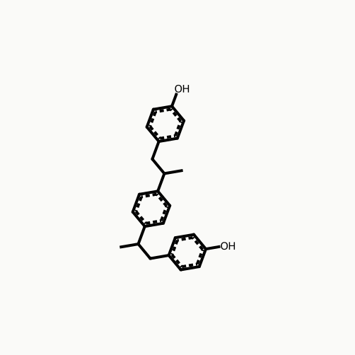 CC(Cc1ccc(O)cc1)c1ccc(C(C)Cc2ccc(O)cc2)cc1